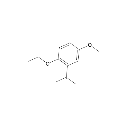 CCOc1ccc(OC)cc1[C](C)C